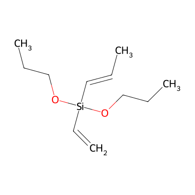 C=C[Si](C=CC)(OCCC)OCCC